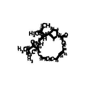 CC(C)N[C@@]12CCN(C1)C(=O)OC/C=C/CCCCC[C@@](C)(C(=O)C(C)C)NCC2=O